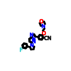 N#Cc1ccc(-c2cnc3ccc(N4CCCC4c4cccc(F)c4)nn23)cc1OCCN1CCOCC1